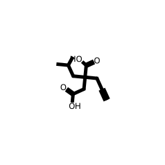 C#CCC(CC(=O)O)(CC(C)C)C(=O)O